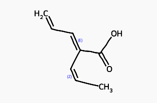 C=C/C=C(\C=C/C)C(=O)O